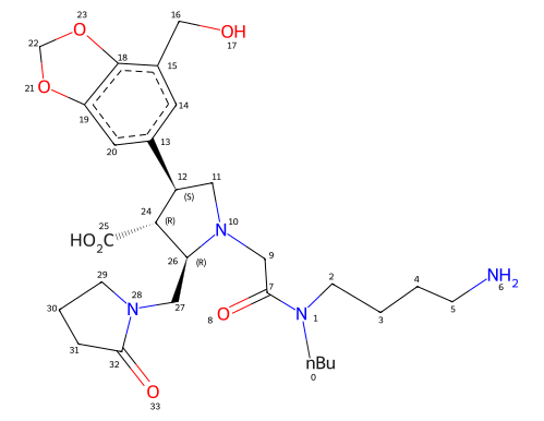 CCCCN(CCCCN)C(=O)CN1C[C@H](c2cc(CO)c3c(c2)OCO3)[C@@H](C(=O)O)[C@@H]1CN1CCCC1=O